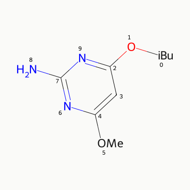 CCC(C)Oc1cc(OC)nc(N)n1